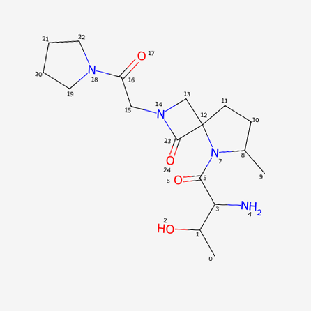 CC(O)C(N)C(=O)N1C(C)CCC12CN(CC(=O)N1CCCC1)C2=O